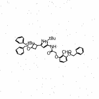 CC(C)(C)n1nc(C2CC(O[Si](c3ccccc3)(c3ccccc3)C(C)(C)C)C2)cc1NC(=O)COc1cccc(OCc2ccccc2)c1C=O